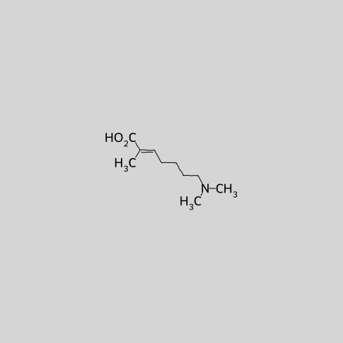 CC(=CCCCCN(C)C)C(=O)O